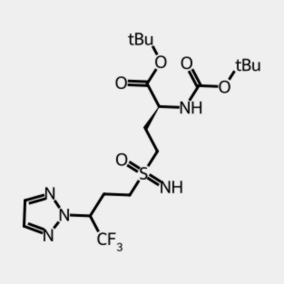 CC(C)(C)OC(=O)N[C@@H](CCS(=N)(=O)CCC(n1nccn1)C(F)(F)F)C(=O)OC(C)(C)C